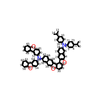 CC(C)c1ccc(N(c2ccc(C(C)C)cc2)c2ccc3cc4c(cc3c2)oc2ccc3oc5cc6cc(N(c7ccc8oc9ccccc9c8c7)c7ccc8oc9ccccc9c8c7)ccc6cc5c3c24)cc1